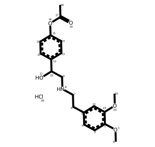 COc1ccc(CCNCC(O)c2ccc(OC(C)=O)cc2)cc1OC.Cl